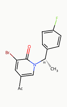 CC(=O)c1cc(Br)c(=O)n([C@@H](C)c2ccc(F)cc2)c1